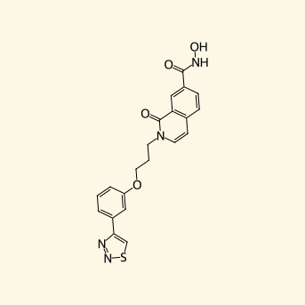 O=C(NO)c1ccc2ccn(CCCOc3cccc(-c4csnn4)c3)c(=O)c2c1